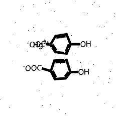 O=C([O-])c1ccc(O)cc1.O=C([O-])c1ccc(O)cc1.[Hg+2]